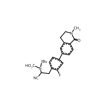 CN1CCc2cc(-c3ccc(CC(C#N)N(C(=O)O)C(C)(C)C)c(F)c3)ccc2C1=O